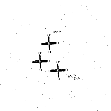 O=S(=O)([O-])[O-].O=S(=O)([O-])[O-].O=S(=O)([O-])[O-].[Mg+2].[Mn+2].[Zn+2]